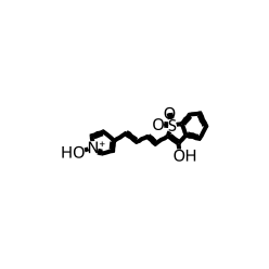 O=S1(=O)C(/C=C/C=C/c2cc[n+](O)cc2)=C(O)c2ccccc21